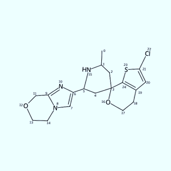 CC1CC2(CC(c3cn4c(n3)COCC4)N1)OCCc1cc(Cl)sc12